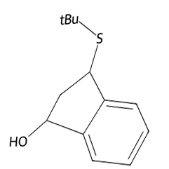 CC(C)(C)SC1CC(O)c2ccccc21